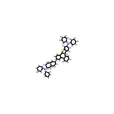 c1ccc(N(c2ccccc2)c2ccc3cc(-c4ccc5c(c4)c4ccccc4c4c6ccc(N(c7ccccc7)c7ccccc7)cc6sc54)ccc3c2)cc1